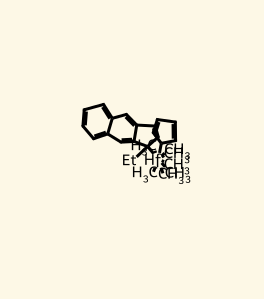 CC[C]1([Hf]([CH3])([CH3])([CH3])([CH3])([CH3])([CH3])([CH3])[CH]2C=CC=C2)C=Cc2cc3ccccc3cc21